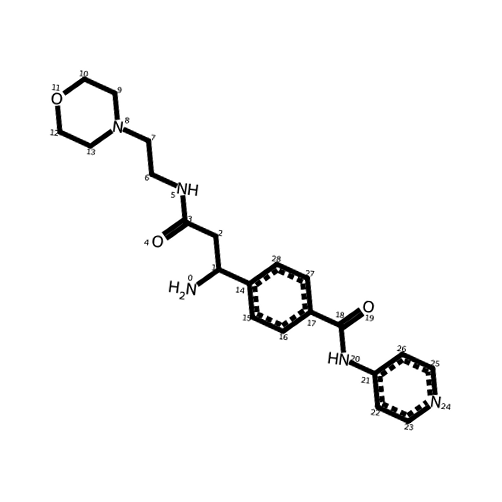 NC(CC(=O)NCCN1CCOCC1)c1ccc(C(=O)Nc2ccncc2)cc1